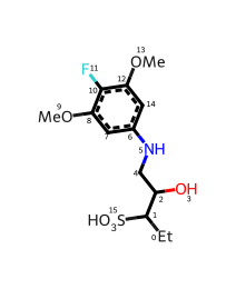 CCC(C(O)CNc1cc(OC)c(F)c(OC)c1)S(=O)(=O)O